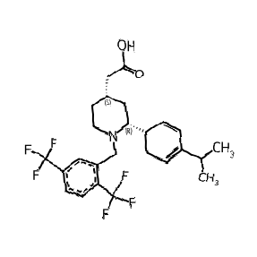 CC(C)C1=CCC([C@H]2C[C@@H](CC(=O)O)CCN2Cc2cc(C(F)(F)F)ccc2C(F)(F)F)C=C1